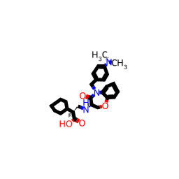 CN(C)c1ccc(CN2C(=O)[C@@H](NC[C@H](C(=O)O)C3CCCCC3)COc3ccccc32)cc1